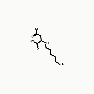 CCCCCCNC(CC(N)=O)C(=O)O